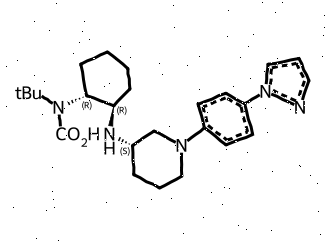 CC(C)(C)N(C(=O)O)[C@@H]1CCCC[C@H]1N[C@H]1CCCN(c2ccc(-n3cccn3)cc2)C1